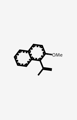 C=C(C)c1c(OC)ccc2ccccc12